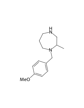 COc1ccc(CN2CCCNCC2C)cc1